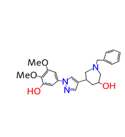 COc1cc(-n2cc(C3CC(O)CN(Cc4ccccc4)C3)cn2)cc(O)c1OC